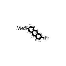 CSc1ccc2cc3cc(C(C)C)ccc3cc2c1